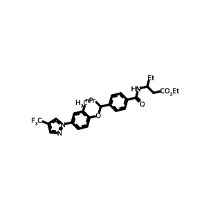 CCCC(Oc1ccc(-n2cc(C(F)(F)F)cn2)cc1C)c1ccc(C(=O)NC(CC)CC(=O)OCC)cc1